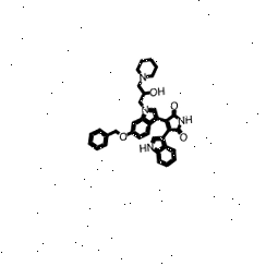 O=C1NC(=O)C(c2cn(CC(O)CN3CCCCC3)c3cc(OCc4ccccc4)ccc23)=C1c1c[nH]c2ccccc12